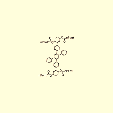 CCCCCC(=O)OC1C=C(c2ccc(-c3cc(-c4ccccc4)c(-c4ccc(C5=CC(OC(=O)CCCCC)CCC5OC(=O)CCCCC)cc4)cc3-c3ccccc3)cc2)C(OC(=O)CCCCC)CC1